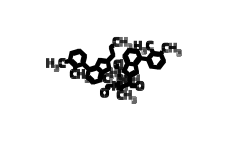 CCCC1=Cc2c(-c3cccc(C)c3C)cccc2[CH]1[Hf]([Cl])([Cl])([B](NC=O)NC=O)[CH]1C(CCC)=Cc2c(-c3cccc(C)c3C)cccc21